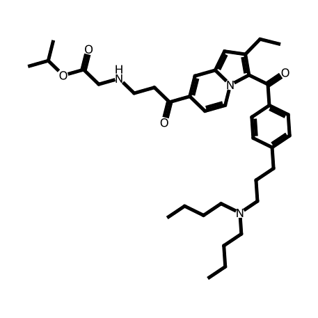 CCCCN(CCCC)CCCc1ccc(C(=O)c2c(CC)cc3cc(C(=O)CCNCC(=O)OC(C)C)ccn23)cc1